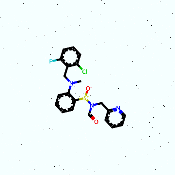 CN(Cc1c(F)cccc1Cl)c1ccccc1[S+]([O-])N(C=O)Cc1ccccn1